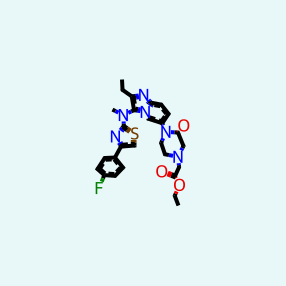 CCOC(=O)CN1CCN(c2ccc3nc(CC)c(N(C)c4nc(-c5ccc(F)cc5)cs4)n3c2)C(=O)C1